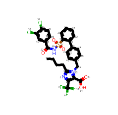 CCCCc1nc(C(F)(F)F)c(C(=O)O)n1Cc1ccc(-c2ccccc2S(=O)(=O)NC(=O)c2ccc(Cl)c(Cl)c2)cc1